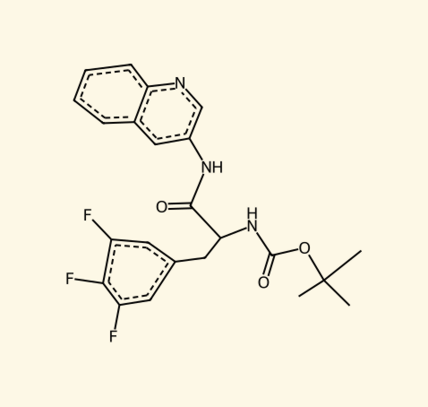 CC(C)(C)OC(=O)NC(Cc1cc(F)c(F)c(F)c1)C(=O)Nc1cnc2ccccc2c1